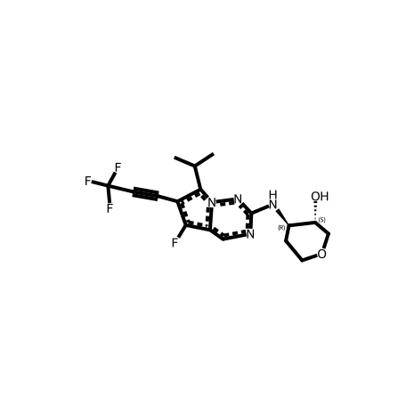 CC(C)c1c(C#CC(F)(F)F)c(F)c2cnc(N[C@@H]3CCOC[C@H]3O)nn12